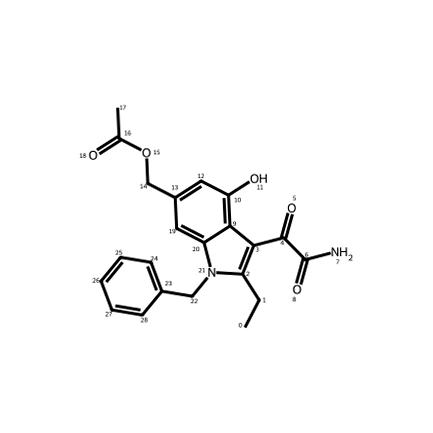 CCc1c(C(=O)C(N)=O)c2c(O)cc(COC(C)=O)cc2n1Cc1ccccc1